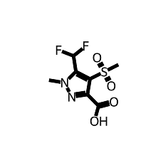 Cn1nc(C(=O)O)c(S(C)(=O)=O)c1C(F)F